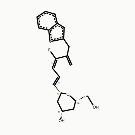 C=C(Cc1cc2ccccc2s1)/C(F)=C\C=C\[C@H]1C[C@@H](O)C[C@@H](CO)O1